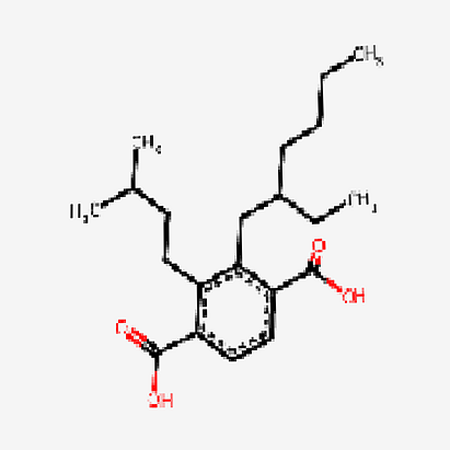 CCCCC(CC)Cc1c(C(=O)O)ccc(C(=O)O)c1CCC(C)C